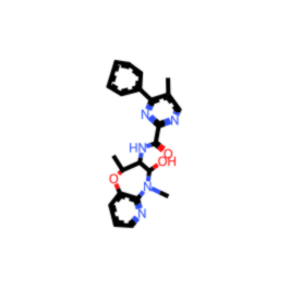 Cc1cnc(C(=O)NC2C(C)Oc3cccnc3N(C)C2O)nc1-c1ccccc1